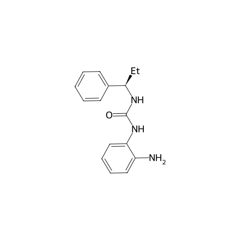 CC[C@@H](NC(=O)Nc1ccccc1N)c1ccccc1